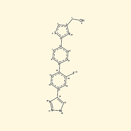 OCc1csc(-c2ccc(-c3ccc(C4=C[N]N=N4)cc3F)cc2)n1